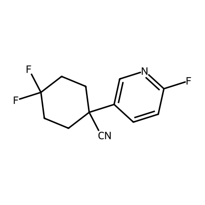 N#CC1(c2ccc(F)nc2)CCC(F)(F)CC1